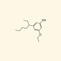 CCCCC(CC)c1cc(O)cc(OCC)c1